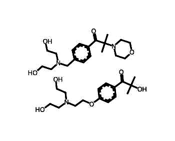 CC(C)(C(=O)c1ccc(CN(CCO)CCO)cc1)N1CCOCC1.CC(C)(O)C(=O)c1ccc(OCCN(CCO)CCO)cc1